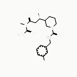 C[C@H](CC(=O)N(C)C(=N)N)C1CCCN(C(=O)NCc2cccc(F)c2)C1